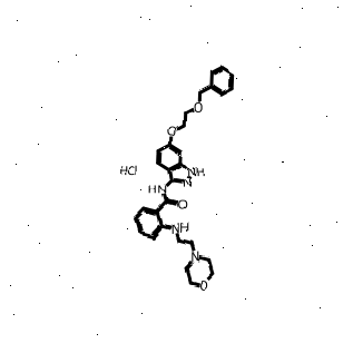 Cl.O=C(Nc1n[nH]c2cc(OCCOCc3ccccc3)ccc12)c1ccccc1NCCN1CCOCC1